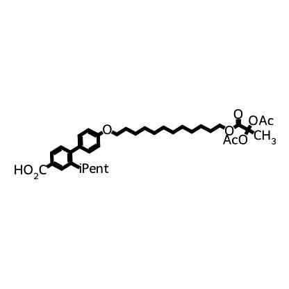 CCCC(C)c1cc(C(=O)O)ccc1-c1ccc(OCCCCCCCCCCCCOC(=O)C(C)(OC(C)=O)OC(C)=O)cc1